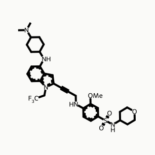 COc1cc(S(=O)(=O)NC2CCOCC2)ccc1NCC#Cc1cc2c(NC3CCC(N(C)C)CC3)cccc2n1CC(F)(F)F